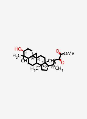 COC(=O)C(=O)C[C@@H](C)[C@H]1CC[C@@]2(C)C3CCC4C(C)(C)[C@@H](O)CC[C@@]45C[C@@]35CC[C@]12C